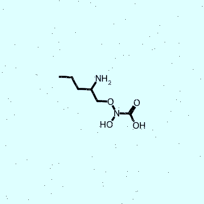 CCCC(N)CON(O)C(=O)O